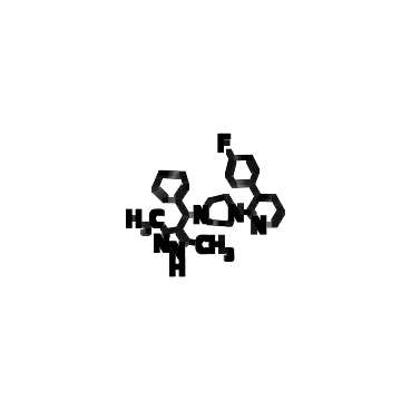 Cc1n[nH]c(C)c1C(c1ccccc1)N1CCN(c2ncccc2-c2ccc(F)cc2)CC1